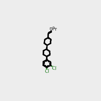 CCC/C=C/C1CCC(C2CCC(c3ccc(Cl)c(Cl)c3)CC2)CC1